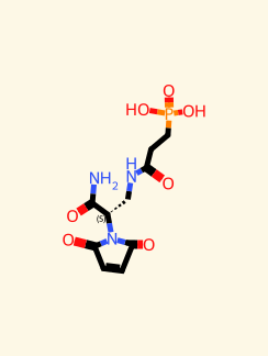 NC(=O)[C@H](CNC(=O)CCP(=O)(O)O)N1C(=O)C=CC1=O